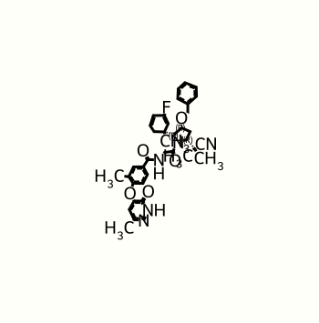 Cc1cc(Oc2ccc(C(=O)NCC(=O)N3[C@H](C4(C)C=C(F)C=CC4)[C@H](OCc4ccccc4)C[C@@H]3C(C)(C)C#N)cc2C)c(=O)[nH]n1